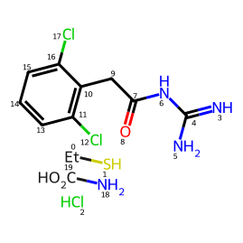 CCS.Cl.N=C(N)NC(=O)Cc1c(Cl)cccc1Cl.NC(=O)O